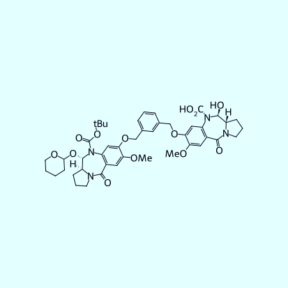 COc1cc2c(cc1OCc1cccc(COc3cc4c(cc3OC)C(=O)N3CCC[C@H]3[C@H](OC3CCCCO3)N4C(=O)OC(C)(C)C)c1)N(C(=O)O)[C@@H](O)[C@@H]1CCCN1C2=O